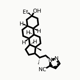 CC[C@@]1(O)CC[C@H]2[C@H](CC[C@@H]3[C@@H]2CC[C@]2(C)C([C@@H](C)Cn4nccc4C#N)CC[C@@H]32)C1